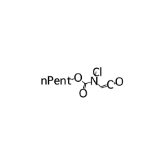 CCCCCOC(=O)N(Cl)C=C=O